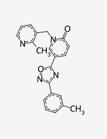 Cc1cccc(-c2noc(-c3ccc(=O)n(Cc4cccnc4C)c3)n2)c1